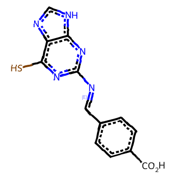 O=C(O)c1ccc(/C=N/c2nc(S)c3nc[nH]c3n2)cc1